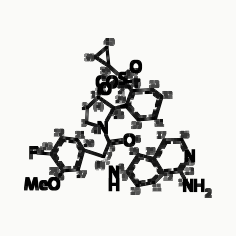 CCOC(=O)[C@@H]1CCN(C(=O)[C@H](Nc2ccc3c(N)nccc3c2)c2ccc(F)c(OC)c2)[C@@H]1c1ccccc1S(=O)(=O)C1CC1